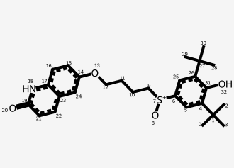 CC(C)(C)c1cc([S+]([O-])CCCCOc2ccc3[nH]c(=O)ccc3c2)cc(C(C)(C)C)c1O